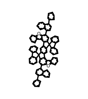 c1ccc(-c2ccc(-c3cc4c(c5c3oc3ccccc35)-c3cc5c(cc3C43c4ccccc4-c4ccccc43)-c3c(cc(-c4ccc(-c6ccccc6)c6ccccc46)c4oc6ccccc6c34)C53c4ccccc4-c4ccccc43)c3ccccc23)cc1